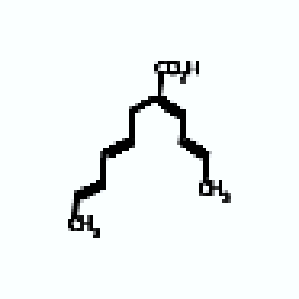 CC=CC=CCC(=CC=CC)C(=O)O